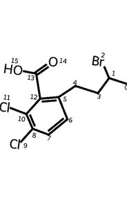 CC(Br)CCc1ccc(Cl)c(Cl)c1C(=O)O